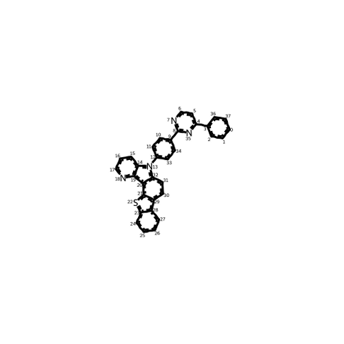 c1ccc(-c2ccnc(-c3ccc(-n4c5cccnc5c5c6sc7ccccc7c6ccc54)cc3)n2)cc1